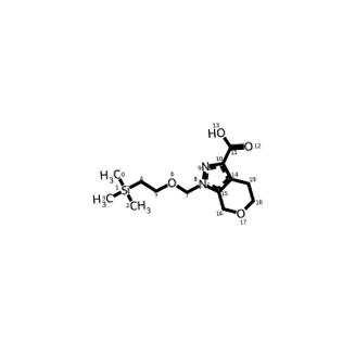 C[Si](C)(C)CCOCn1nc(C(=O)O)c2c1COCC2